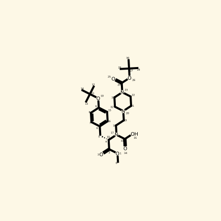 COC(=O)[C@H](Cc1ccc(OC(C)(C)C)cc1)N(CCN1CCN(C(=O)OC(C)(C)C)CC1)C(=O)O